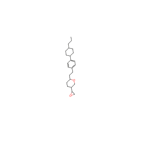 CCCC1CCC(c2ccc(CCC3CCC(C4CO4)CO3)cc2)CC1